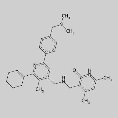 Cc1cc(C)c(CNCc2cc(-c3ccc(CN(C)C)cc3)nc(C3=CCCCC3)c2C)c(=O)[nH]1